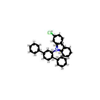 Clc1ccc2c3ccccc3n(-c3cc(-c4ccccc4)ccc3-c3ccccc3)c2c1